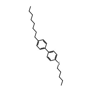 CCCCCCCCc1ccc(-c2ccc(SCCCCC)cc2)cc1